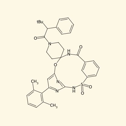 Cc1cccc(C)c1-c1cc2nc(n1)NS(=O)(=O)c1cccc(c1)C(=O)NC1(CCN(C(=O)C(c3ccccc3)C(C)(C)C)CC1)O2